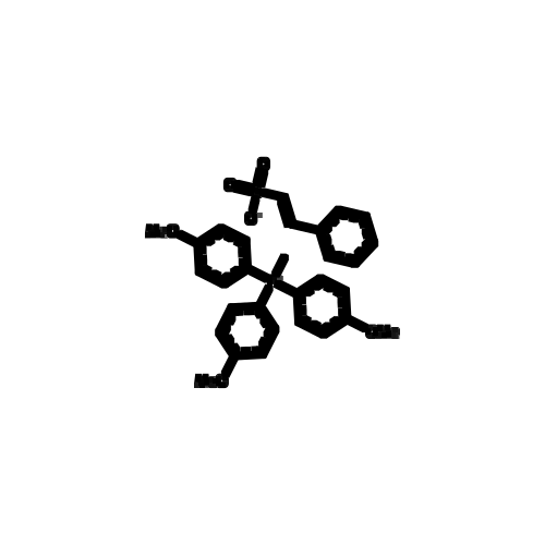 COc1ccc([P+](C)(c2ccc(OC)cc2)c2ccc(OC)cc2)cc1.O=S(=O)([O-])C=Cc1ccccc1